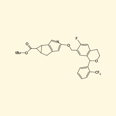 CC(C)(C)OC(=O)C1C2Cc3cc(OCc4cc5c(cc4F)CCOC5c4ccccc4C(F)(F)F)ncc3C21